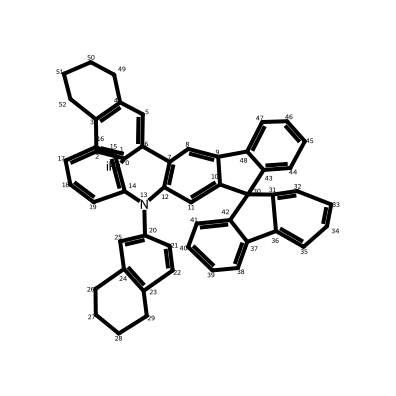 CC(C)c1cc2c(cc1-c1cc3c(cc1N(c1ccccc1)c1ccc4c(c1)CCCC4)C1(c4ccccc4-c4ccccc41)c1ccccc1-3)CCCC2